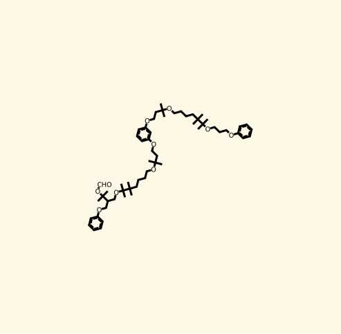 CC(C)(CCOc1cccc(OCCC(C)(C)OCCCCC(C)(C)C(C)(C)OCC(COc2ccccc2)C(C)(C)OC=O)c1)OCCCCC(C)(C)C(C)(C)OCCCOc1ccccc1